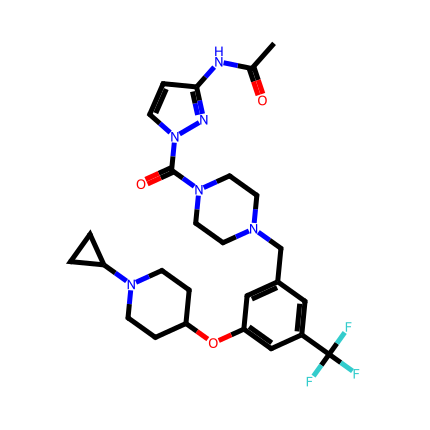 CC(=O)Nc1ccn(C(=O)N2CCN(Cc3cc(OC4CCN(C5CC5)CC4)cc(C(F)(F)F)c3)CC2)n1